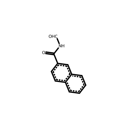 O=CNC(=O)c1ccc2ccccc2c1